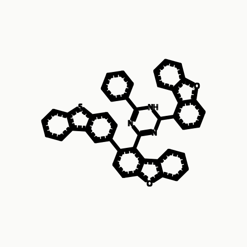 c1ccc(C2=NC(c3c(-c4ccc5sc6ccccc6c5c4)ccc4oc5ccccc5c34)=NC(c3cccc4oc5ccccc5c34)N2)cc1